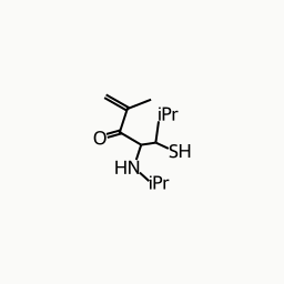 C=C(C)C(=O)C(NC(C)C)C(S)C(C)C